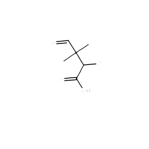 CC(C)(C=O)C(Cl)C(=O)O